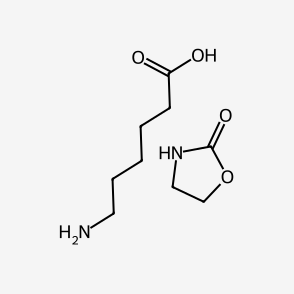 NCCCCCC(=O)O.O=C1NCCO1